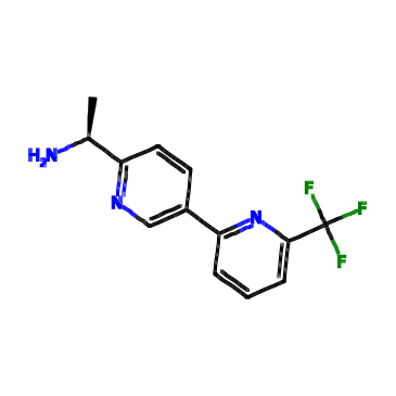 C[C@H](N)c1ccc(-c2cccc(C(F)(F)F)n2)cn1